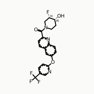 O=C(c1ccc2cc(Oc3ccc(C(F)(F)F)cn3)ccc2n1)N1CC[C@@H](O)[C@@H](F)C1